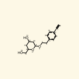 C#Cc1ccc(CCOC2CC(O)CC(CO)O2)cc1